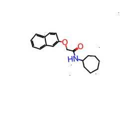 O=C(COc1ccc2ccccc2c1)NC1CCCCCC1